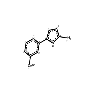 COc1ccnc(-c2csc(N)n2)c1